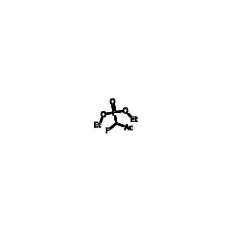 CCOP(=O)(OCC)C(F)C(C)=O